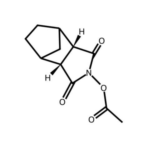 CC(=O)ON1C(=O)[C@@H]2C3CCC(C3)[C@@H]2C1=O